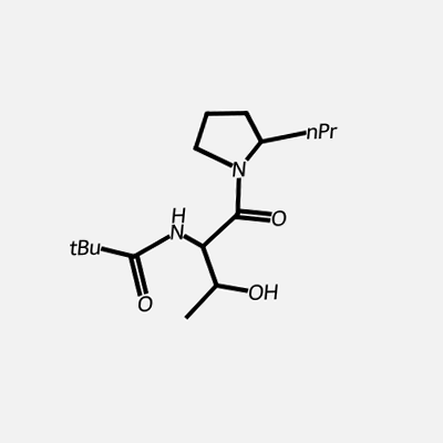 CCCC1CCCN1C(=O)C(NC(=O)C(C)(C)C)C(C)O